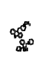 CN1CCCC(CC2c3ccccc3Sc3ccccc32)C1.OC(CCN1CCCCC1)(c1ccccc1)C1CC2C=CC1C2